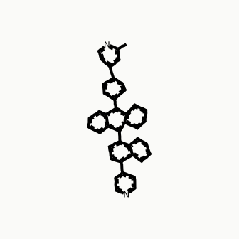 Cc1cc(-c2ccc(-c3c4ccccc4c(-c4ccc(-c5ccncc5)c5ccccc45)c4ccccc34)cc2)ccn1